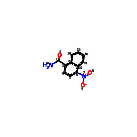 NC(=O)c1ccc([N+](=O)[O-])c2ccccc12